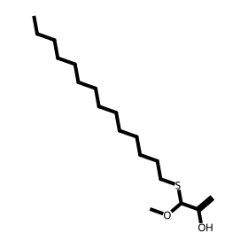 C=C(O)C(OC)SCCCCCCCCCCCCCC